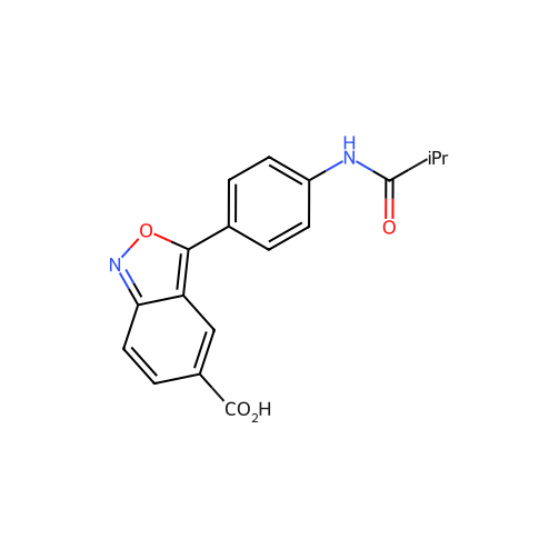 CC(C)C(=O)Nc1ccc(-c2onc3ccc(C(=O)O)cc23)cc1